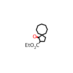 CCOC(=O)C1CCC2(CCCCCCC2)C1=O